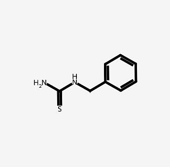 NC(=S)N[CH]c1ccccc1